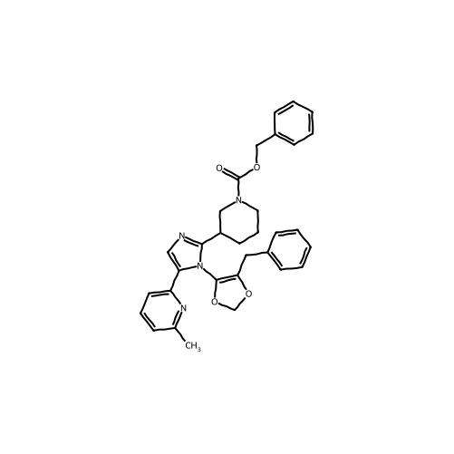 Cc1cccc(-c2cnc(C3CCCN(C(=O)OCc4ccccc4)C3)n2C2=C(Cc3ccccc3)OCO2)n1